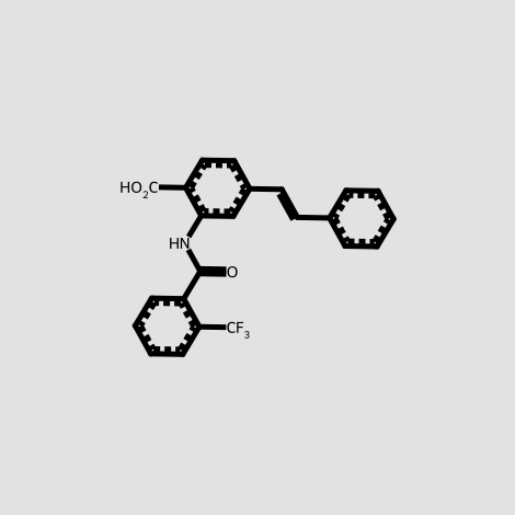 O=C(O)c1ccc(C=Cc2ccccc2)cc1NC(=O)c1ccccc1C(F)(F)F